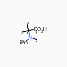 CC(C)N(C)C(C)(C)C(=O)O